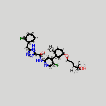 Cc1ccc(OCCCC(C)(C)O)cc1-c1cc(NC(=O)c2nnc(Cc3ccccc3F)[nH]2)ncc1F